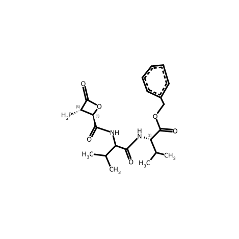 CC(C)C(NC(=O)[C@@H]1OC(=O)[C@H]1P)C(=O)N[C@H](C(=O)OCc1ccccc1)C(C)C